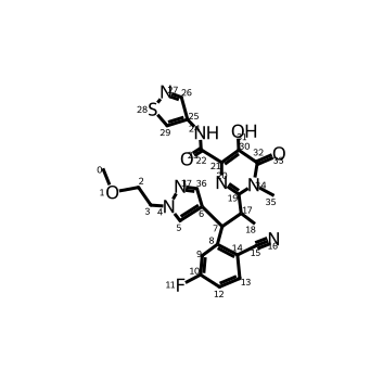 COCCn1cc(C(c2cc(F)ccc2C#N)C(C)c2nc(C(=O)Nc3cnsc3)c(O)c(=O)n2C)cn1